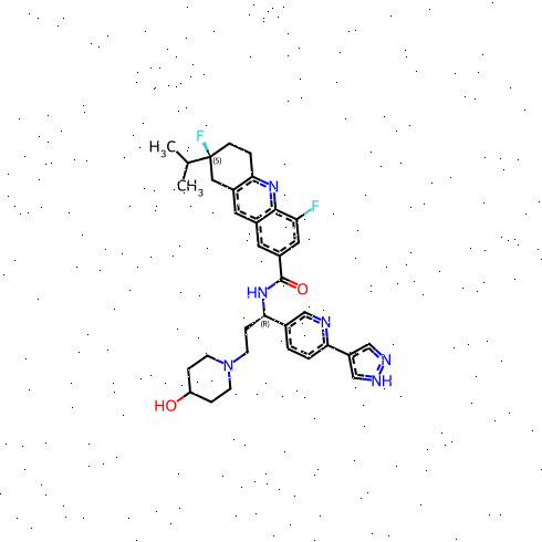 CC(C)[C@]1(F)CCc2nc3c(F)cc(C(=O)N[C@H](CCN4CCC(O)CC4)c4ccc(-c5cn[nH]c5)nc4)cc3cc2C1